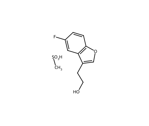 CS(=O)(=O)O.OCCc1coc2ccc(F)cc12